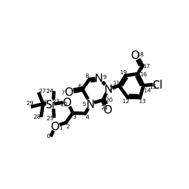 COCC(Cn1c(=O)cnn(-c2ccc(Cl)c([C]=O)c2)c1=O)O[Si](C)(C)C(C)(C)C